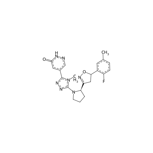 Cc1ccc(F)c(C2CC([C@H]3CCCN3c3nnc(-c4cn[nH]c(=O)c4)n3C)=NO2)c1